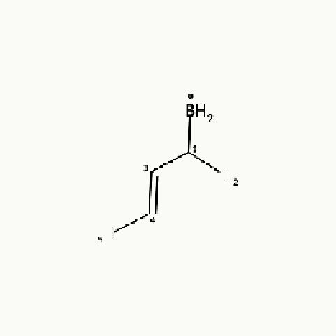 BC(I)C=CI